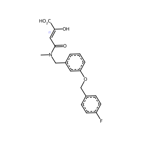 CN(Cc1cccc(OCc2ccc(F)cc2)c1)C(=O)/C=C(\O)C(=O)O